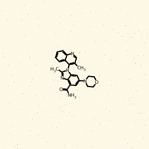 Cc1cnc2ccccc2c1-n1c(C)nc2c(C(N)=O)cc(N3CCOCC3)cc21